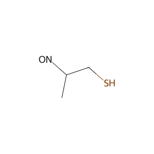 CC(CS)N=O